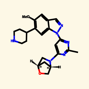 COc1cc2cnn(-c3cc(N4C[C@H]5C[C@@H]4CO5)nc(C)n3)c2cc1C1CCNCC1